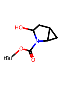 CC(C)(C)OC(=O)N1C(O)CC2CC21